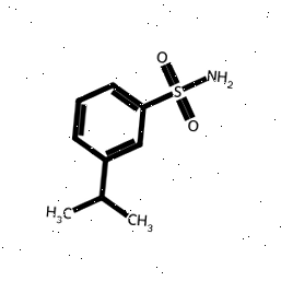 CC(C)c1cccc(S(N)(=O)=O)c1